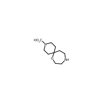 O=C(O)N1CCC2(CCNCCO2)CC1